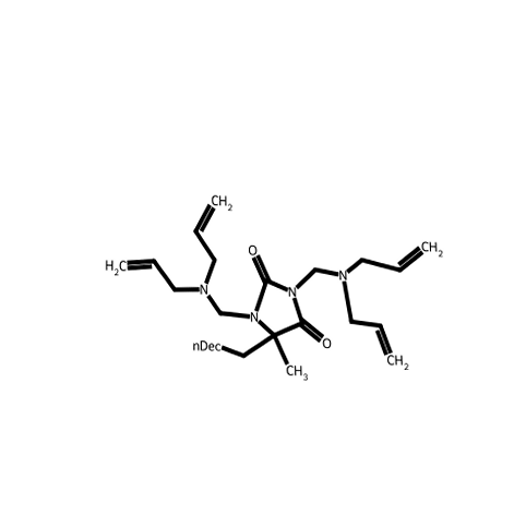 C=CCN(CC=C)CN1C(=O)N(CN(CC=C)CC=C)C(C)(CCCCCCCCCCC)C1=O